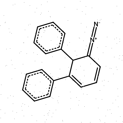 [N-]=[N+]=C1C=CC=C(c2ccccc2)C1c1ccccc1